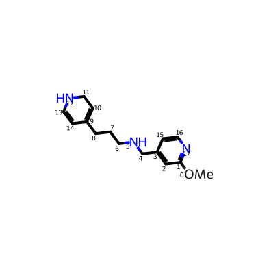 COc1cc(CNCCCC2=CCNC=C2)ccn1